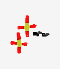 O=S(=O)([O-])[O-].O=S(=O)([O-])[O-].[Cu+2].[Mg+2]